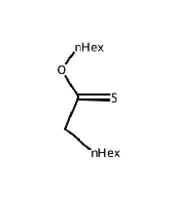 CCCCCCCC(=S)OCCCCCC